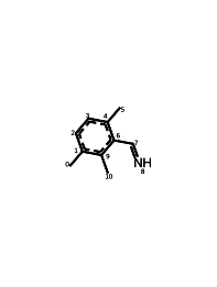 Cc1ccc(C)c(C=N)c1C